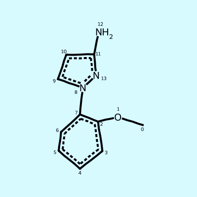 COc1ccccc1-n1ccc(N)n1